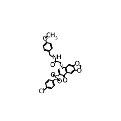 COc1ccc(CNC(=O)Cn2cc(S(=O)(=O)c3ccc(Cl)cc3)c(=O)c3cc4c(cc32)OCO4)cc1